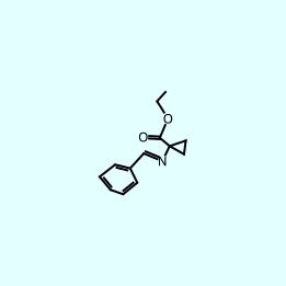 CCOC(=O)C1(N=Cc2ccccc2)CC1